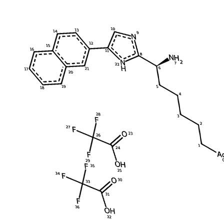 CC(=O)CCCCC[C@H](N)c1ncc(-c2ccc3ccccc3c2)[nH]1.O=C(O)C(F)(F)F.O=C(O)C(F)(F)F